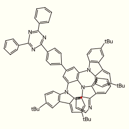 CC(C)(C)c1ccc2c(c1)c1cc(C(C)(C)C)ccc1n2-c1cc(-c2ccc(-c3nc(-c4ccccc4)nc(-c4ccccc4)n3)cc2)cc(-n2c3ccc(C(C)(C)C)cc3c3cc(C(C)(C)C)ccc32)c1-n1c2ccccc2c2ncccc21